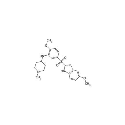 COc1ccc2[nH]c(S(=O)(=O)c3ccc(OC)c(NC4CCN(C)CC4)c3)cc2c1